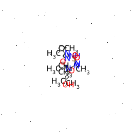 Cc1cccc(C)c1-c1cc2nc(n1)NS(=O)(=O)c1cc(n(C)n1)C(=O)N(C1CC3(C1)CC(C(C)(C)O)C3)[C@H](CC(C)(C)C)CO2